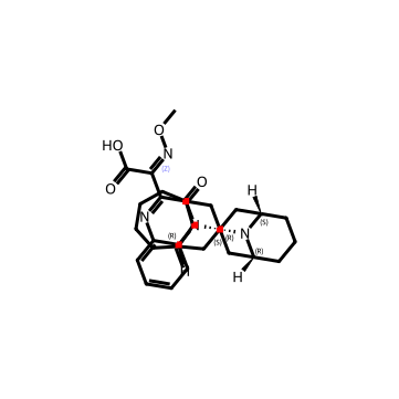 CO/N=C(\C(=O)O)c1nc2ccccc2n([C@H]2C[C@H]3CCC[C@@H](C2)N3[C@H]2CC3CCCC[C@H](C3)C2)c1=O